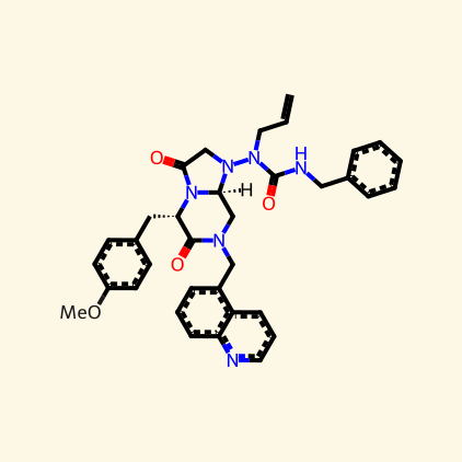 C=CCN(C(=O)NCc1ccccc1)N1CC(=O)N2[C@@H](Cc3ccc(OC)cc3)C(=O)N(Cc3cccc4ncccc34)C[C@@H]21